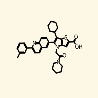 Cc1cccc(-c2ccc3cc(-c4c(C5CCCCC5)c5sc(C(=O)O)cc5n4CC(=O)N4CCCCC4)ccc3n2)c1